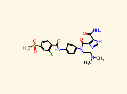 CN(C)CCN(C(=O)c1nc[nH]c1C(N)=O)c1ccc(NC(=O)c2ccc(S(C)(=O)=O)cc2Cl)cc1